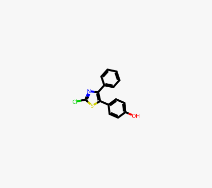 Oc1ccc(-c2sc(Cl)nc2-c2ccccc2)cc1